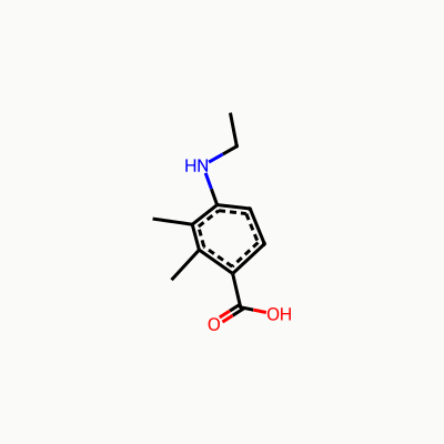 CCNc1ccc(C(=O)O)c(C)c1C